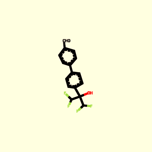 O=Cc1ccc(-c2ccc(C(O)(C(F)F)C(F)F)cc2)cc1